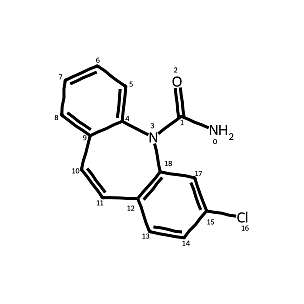 NC(=O)N1c2ccccc2C=Cc2ccc(Cl)cc21